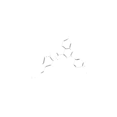 O=C(O)C=Cc1ccc(F)c(NC(=O)c2cc(-c3ccc(F)cc3)cc3ccccc23)c1